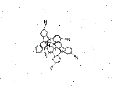 N#Cc1ccc(-n2c3cc(C#N)ccc3c3ccc(C#N)cc32)c(-c2nc(-c3ccccc3)nc(-c3cc(C#N)ccc3-n3c4cc(C#N)ccc4c4ccc(C#N)cc43)n2)c1